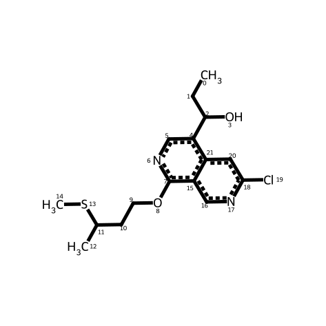 CCC(O)c1cnc(OCCC(C)SC)c2cnc(Cl)cc12